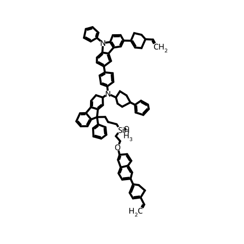 C=CC1=CC=C(c2ccc3cc(OCC[SiH](C)CCCC4(c5ccccc5)C5=CC(N(c6ccc(-c7ccc8c(c7)c7cc(C9=CCC(C=C)CC9)ccc7n8-c7ccccc7)cc6)C6CCC(c7ccccc7)CC6)CC=C5c5ccccc54)ccc3c2)CC1